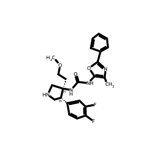 COCC[C@@]1(NC(=O)Nc2oc(-c3ccccc3)nc2C)CNC[C@H]1c1ccc(F)c(F)c1